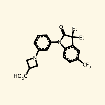 CCC1(CC)C(=O)N(c2cccc(N3CC(C(=O)O)C3)c2)c2ccc(C(F)(F)F)cc21